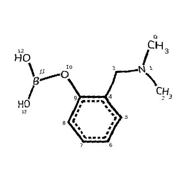 CN(C)Cc1ccccc1OB(O)O